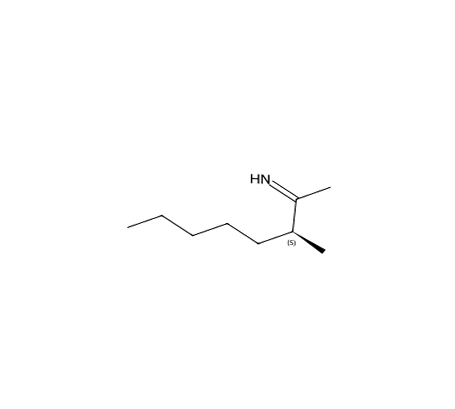 CCCCC[C@H](C)C(C)=N